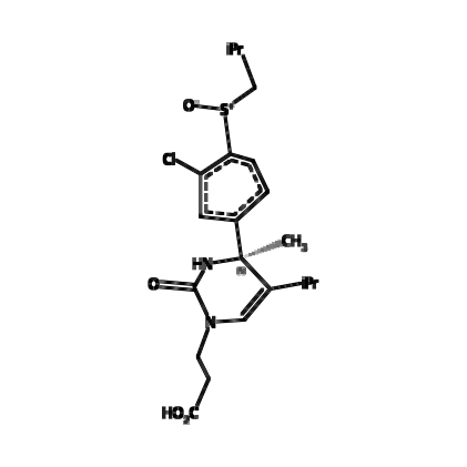 CC(C)C[S+]([O-])c1ccc([C@]2(C)NC(=O)N(CCC(=O)O)C=C2C(C)C)cc1Cl